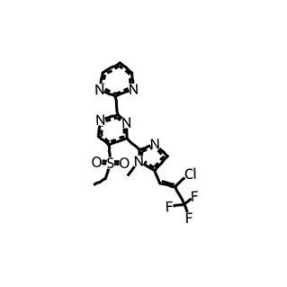 CCS(=O)(=O)c1cnc(-c2ncccn2)nc1-c1ncc(/C=C(\Cl)C(F)(F)F)n1C